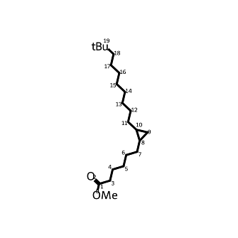 COC(=O)CCCCCC1CC1CCCCCCCCC(C)(C)C